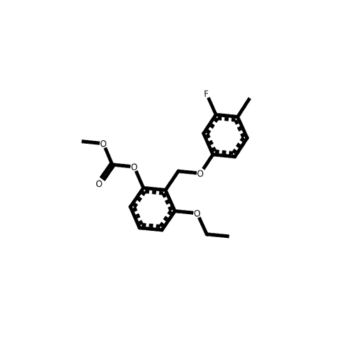 CCOc1cccc(OC(=O)OC)c1COc1ccc(C)c(F)c1